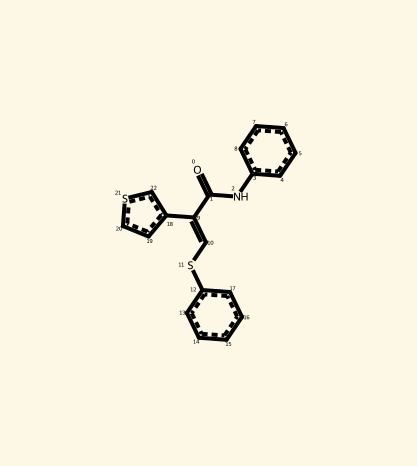 O=C(Nc1ccccc1)C(=CSc1ccccc1)c1ccsc1